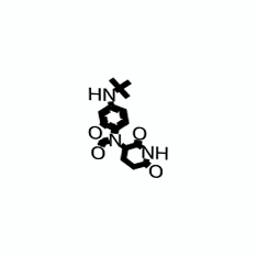 CC(C)(C)Nc1ccc2c(c1)oc(=O)n2C1CCC(=O)NC1=O